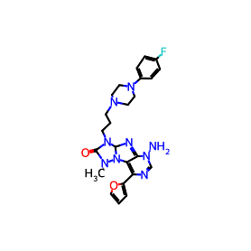 CN1C(=O)N(CCCN2CCN(c3ccc(F)cc3)CC2)C2N=C3C(=C(c4ccco4)N=CN3N)N21